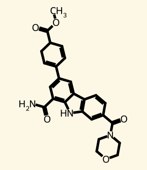 COC(=O)C1C=CC(c2cc(C(N)=O)c3[nH]c4cc(C(=O)N5CCOCC5)ccc4c3c2)=CC1